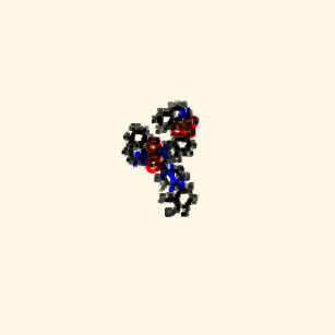 Cc1cccc(N2CCN(C(=O)C(Cc3ccc(OS(=O)(=O)c4nccc5ccccc45)cc3)N(C)S(=O)(=O)c3nccc4ccccc34)CC2)c1C